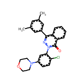 Cc1cc(C)cc(-c2nn(-c3cc(N4CCOCC4)ccc3Cl)c(=O)c3ccccc23)c1